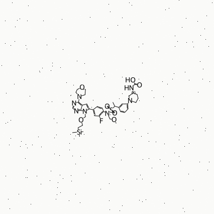 COCN(c1ccc(-c2cc3c(N4CCOCC4)ncnc3n2COCC[Si](C)(C)C)cc1F)S(=O)(=O)C(C)c1cccc(N2CCC[C@@H](NC(=O)O)C2)c1